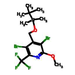 COc1nc(C(F)(F)F)c(Br)c(CO[Si](C)(C)C(C)(C)C)c1Br